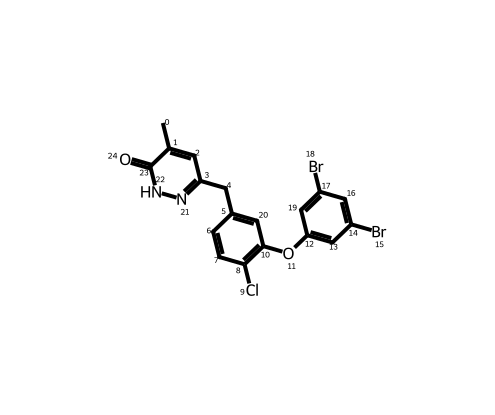 Cc1cc(Cc2ccc(Cl)c(Oc3cc(Br)cc(Br)c3)c2)n[nH]c1=O